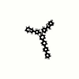 C1=CC(c2cc3ccccn3c2)CC=C1N(C1=CC=C(C2=CC=C(c3ccc(-c4ccccc4)cc3)CC2)CC1)c1ccc(-c2cc3ccccc3s2)cc1